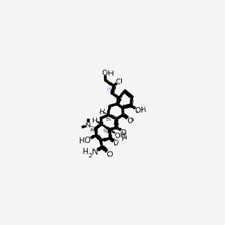 CN(C)[C@H]1C(O)=C(C(N)=O)C(=O)[C@@]2(O)C(O)=C3C(=O)c4c(O)ccc(/C=C(\Cl)CO)c4C[C@@H]3C[C@@H]12